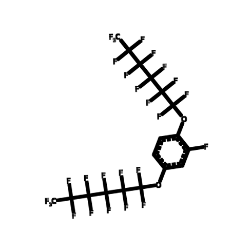 Fc1cc(OC(F)(F)C(F)(F)C(F)(F)C(F)(F)C(F)(F)C(F)(F)F)ccc1OC(F)(F)C(F)(F)C(F)(F)C(F)(F)C(F)(F)C(F)(F)F